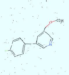 O=C(O)Oc1cncc(-c2ccc(F)cc2)c1